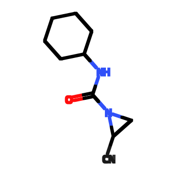 N#CC1CN1C(=O)NC1CCCCC1